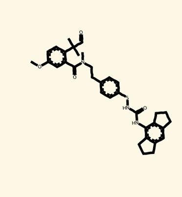 COc1ccc(C(C)(C)C=O)c(C(=O)N(C)CCc2ccc(SNC(=O)Nc3c4c(cc5c3CCC5)CCC4)cc2)c1